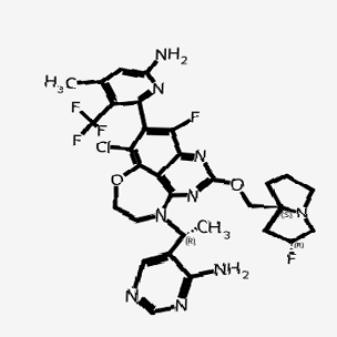 Cc1cc(N)nc(-c2c(Cl)c3c4c(nc(OC[C@@]56CCCN5C[C@H](F)C6)nc4c2F)N([C@H](C)c2cncnc2N)CCO3)c1C(F)(F)F